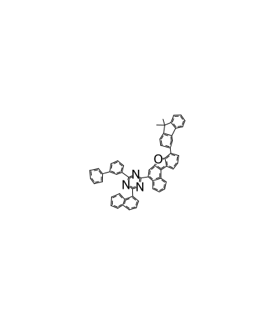 CC1(C)c2ccccc2-c2cc(-c3cccc4c3oc3cc(-c5nc(-c6cccc(-c7ccccc7)c6)nc(-c6cccc7ccccc67)n5)c5ccccc5c34)ccc21